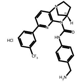 Cl.NCc1ccc(NC(=O)N2c3nc(-c4cccc(C(F)(F)F)c4)ccc3N3CC[C@H]2C3)cc1